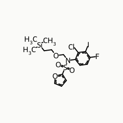 C[Si](C)(C)CCOCN(c1ccc(F)c(I)c1Cl)S(=O)(=O)c1ccco1